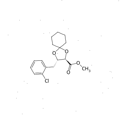 COC(=O)[C@@H]1OC2(CCCCC2)O[C@H]1Cc1ccccc1Cl